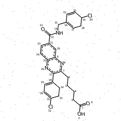 O=C(O)CCCCc1nc2cc(C(=O)NCC3=CCC(Cl)C=C3)ccc2nc1C1=CC=C(Cl)CC1